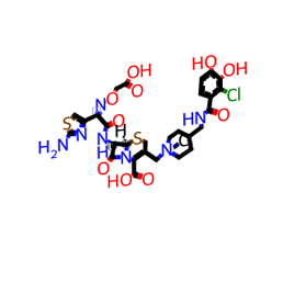 Nc1nc(/C(=N/OCC(=O)O)C(=O)N[C@@H]2C(=O)N3C(C(=O)O)=C(C[N+]45CCC(CNC(=O)c6ccc(O)c(O)c6Cl)(CC4)CC5)CS[C@H]23)cs1